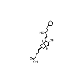 O=C(O)CCC/C=C1\C[C@@H]2C[C@@H](O)[C@H](/C=C/[C@H](O)CCC3CCCC3)[C@H]2C1